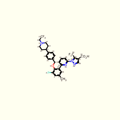 Cc1cc(F)c(OCc2ccc(C3CCN(CC(F)(F)F)CC3)cc2)c(-c2cccc(-n3ncc(C(=O)O)c3C(F)(F)F)n2)c1